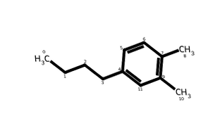 CCC[CH]c1ccc(C)c(C)c1